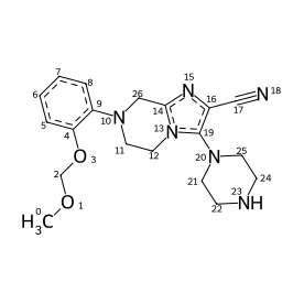 COCOc1ccccc1N1CCn2c(nc(C#N)c2N2CCNCC2)C1